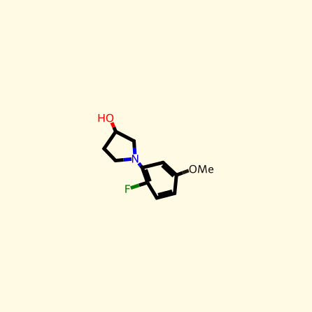 COc1ccc(F)c(N2CCC(O)C2)c1